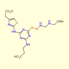 COCNCNOSc1nc(NCCS(=O)(=O)O)nc(Nc2nc(CC(=O)O)cs2)n1